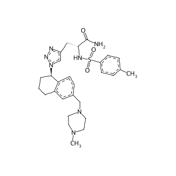 Cc1ccc(S(=O)(=O)N[C@H](Cc2cn([C@@H]3CCCc4cc(CN5CCN(C)CC5)ccc43)nn2)C(N)=O)cc1